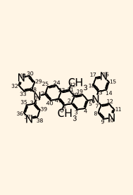 Cc1c2ccc(N(c3ccncc3)c3ccncc3)cc2c(C)c2ccc(N(c3ccncc3)c3ccncc3)cc12